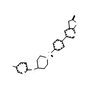 O=C1Cc2cc(-c3ccc(S(=O)(=O)N4CCC(Nc5ccc(C(F)(F)F)cn5)CC4)cc3)cnc2N1